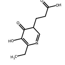 CCC1=C(O)C(=O)C(CCC(=O)O)C=N1